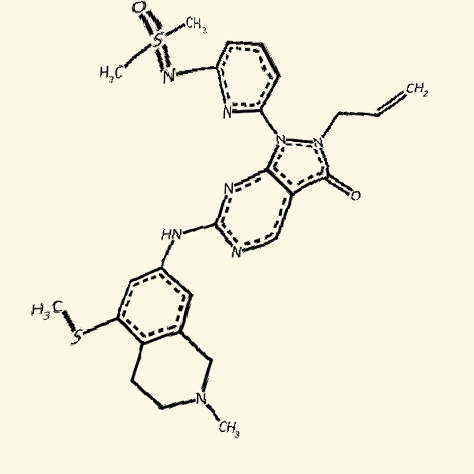 C=CCn1c(=O)c2cnc(Nc3cc4c(c(SC)c3)CCN(C)C4)nc2n1-c1cccc(N=S(C)(C)=O)n1